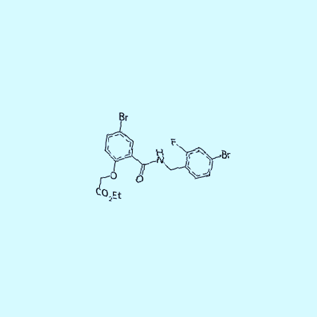 CCOC(=O)COc1ccc(Br)cc1C(=O)NCc1ccc(Br)cc1F